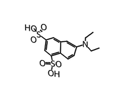 CCN(CC)c1ccc2c(S(=O)(=O)O)cc(S(=O)(=O)O)cc2c1